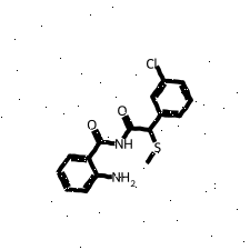 CSC(C(=O)NC(=O)c1ccccc1N)c1cccc(Cl)c1